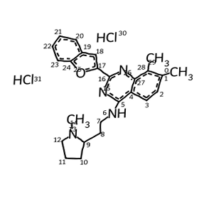 Cc1ccc2c(NCCC3CCCN3C)nc(-c3cc4ccccc4o3)nc2c1C.Cl.Cl